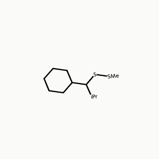 CSSC(C(C)C)C1CCCCC1